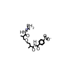 CC(COCCC(C)C(=O)NC(=O)c1ccc([N+](=O)[O-])cc1)C(=O)N/B=N/P